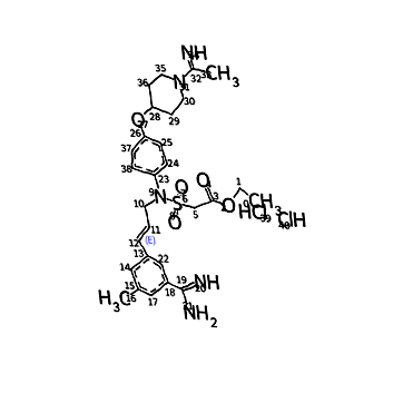 CCOC(=O)CS(=O)(=O)N(C/C=C/c1cc(C)cc(C(=N)N)c1)c1ccc(OC2CCN(C(C)=N)CC2)cc1.Cl.Cl